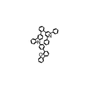 c1ccc(-c2cc(-c3ccccc3-c3ccc4c(c3)c3ccccc3n4-c3ccc(-c4cccc5c4oc4ccccc45)cc3)cc(-c3ccccc3)n2)cc1